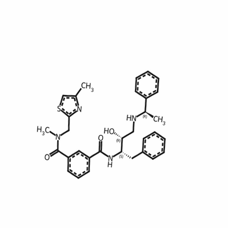 Cc1csc(CN(C)C(=O)c2cccc(C(=O)N[C@@H](Cc3ccccc3)[C@H](O)CN[C@H](C)c3ccccc3)c2)n1